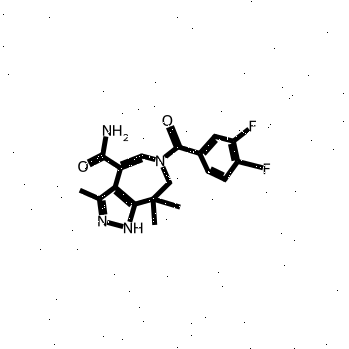 Cc1n[nH]c2c1C(C(N)=O)=CN(C(=O)c1ccc(F)c(F)c1)CC2(C)C